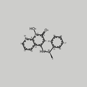 C[C@@H](Nc1cc(=O)n(O)c2ncccc12)c1ccccc1